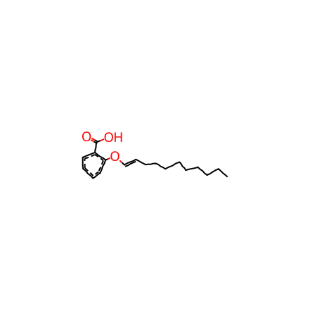 CCCCCCCCC/C=C/Oc1ccccc1C(=O)O